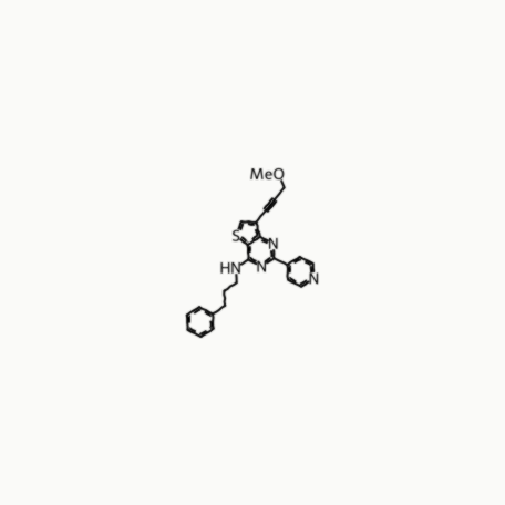 COCC#Cc1csc2c(NCCCc3ccccc3)nc(-c3ccncc3)nc12